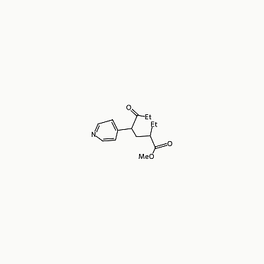 CCC(=O)C(CC(CC)C(=O)OC)c1ccncc1